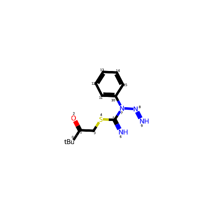 CC(C)(C)C(=O)CSC(=N)N(N=N)c1ccccc1